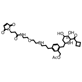 CC(=O)OCc1cc(CCCBCCOCCNC(=O)CCN2C(=O)C=CC2=O)ccc1CC1BC(C(=O)C2CCC2)[C@@H](O)C(O)C1